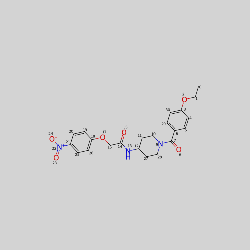 CCOc1ccc(C(=O)N2CCC(NC(=O)COc3ccc([N+](=O)[O-])cc3)CC2)cc1